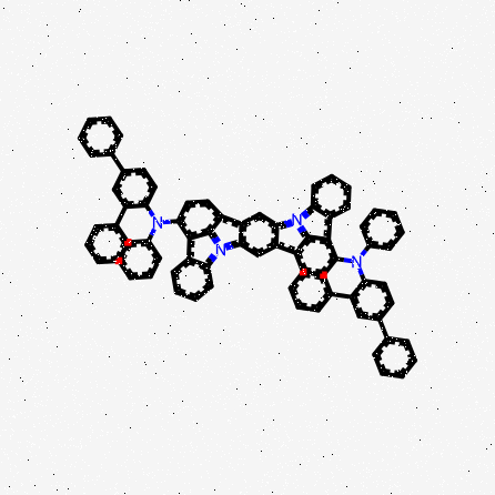 c1ccc(-c2ccc(N(c3ccccc3)c3ccc4c5cc6c(cc5n5c7ccccc7c3c45)c3ccc(N(c4ccccc4)c4ccc(-c5ccccc5)cc4-c4ccccc4)c4c5ccccc5n6c34)c(-c3ccccc3)c2)cc1